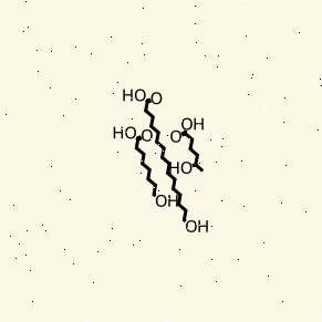 CC(O)CCCC(=O)O.O=C(O)CCCCCCCCCCCCCCCO.O=C(O)CCCCCCCO